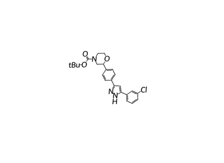 CC(C)(C)OC(=O)N1CCOC(c2ccc(-c3cc(-c4cccc(Cl)c4)[nH]n3)cc2)C1